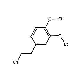 [C-]#[N+]CCc1ccc(OCC)c(OCC)c1